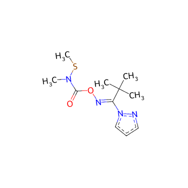 CSN(C)C(=O)ON=C(n1cccn1)C(C)(C)C